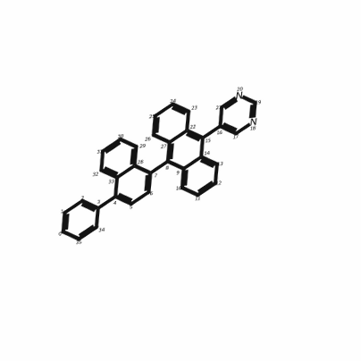 c1ccc(-c2ccc(-c3c4ccccc4c(-c4cncnc4)c4ccccc34)c3ccccc23)cc1